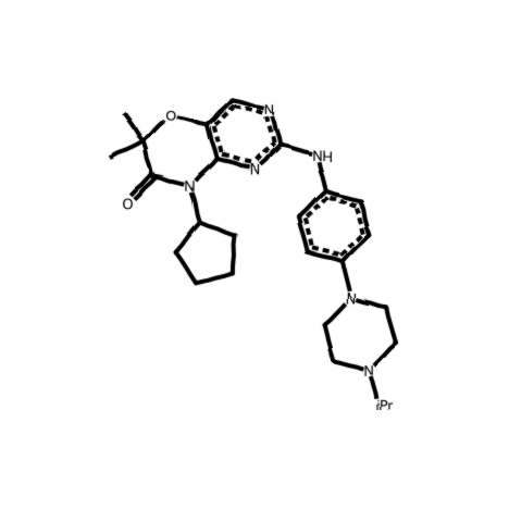 CC(C)N1CCN(c2ccc(Nc3ncc4c(n3)N(C3CCCC3)C(=O)C(C)(C)O4)cc2)CC1